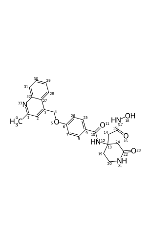 Cc1cc(COc2ccc(C(=O)NC3(CC(=O)NO)CCNC(=O)C3)cc2)c2ccccc2n1